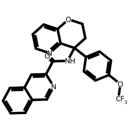 O=C(NC1(c2ccc(OC(F)(F)F)cc2)CCOc2cccnc21)c1cc2ccccc2cn1